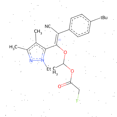 CCn1nc(C)c(C)c1/C(OC(C)OC(=O)CF)=C(\C#N)c1ccc(C(C)(C)C)cc1